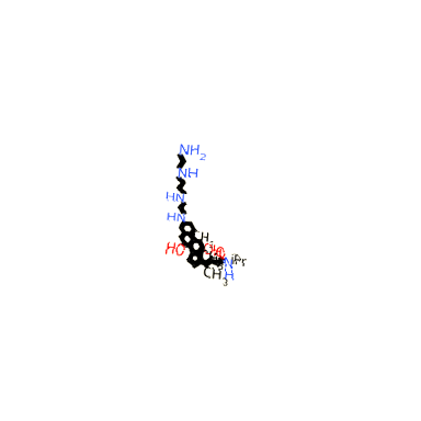 CC(C)NC(=O)CC[C@@H](C)C1CCC2C3C(C[C@H](O)[C@@]21C)[C@@]1(C)CC[C@H](NCCCNCCCCNCCCN)CC1C[C@H]3O